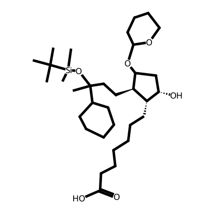 CC(CC[C@H]1C(OC2CCCCO2)C[C@H](O)[C@@H]1CCCCCCC(=O)O)(O[Si](C)(C)C(C)(C)C)C1CCCCC1